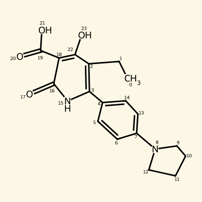 CCc1c(-c2ccc(N3CCCC3)cc2)[nH]c(=O)c(C(=O)O)c1O